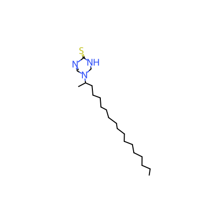 CCCCCCCCCCCCCCCCC(C)N1C=NC(=S)NC1